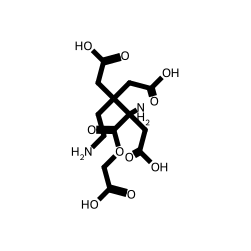 NCCC(CC(=O)O)(CC(=O)O)C(N)(CC(=O)O)C(=O)OCC(=O)O